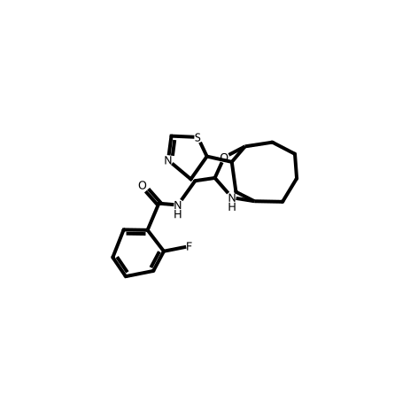 O=C(NCC1NC2CCCCC(O1)C(C1CN=CS1)C2)c1ccccc1F